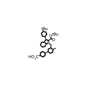 Cc1ccc(-c2ccc(C(=O)O)cc2)cc1Cn1c(C(=O)OC(C)(C)C)c(-c2ccc(C(C)(C)C)cc2)c2ccccc21